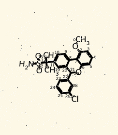 COc1cccc2c1-c1ccc(C(C)(C)S(N)(=O)=O)cc1C(c1cccc(Cl)c1)O2